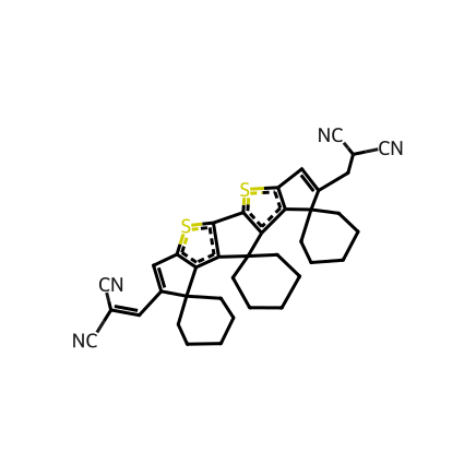 N#CC(C#N)=CC1=Cc2sc3c(c2C12CCCCC2)C1(CCCCC1)c1c-3sc2c1C1(CCCCC1)C(CC(C#N)C#N)=C2